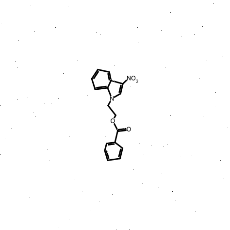 O=C(OCCn1cc([N+](=O)[O-])c2ccccc21)c1ccccc1